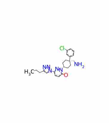 CCCc1cn(-c2ccc(=O)n([C@H]3CC[C@](CN)(c4cccc(Cl)c4)CC3)n2)nn1